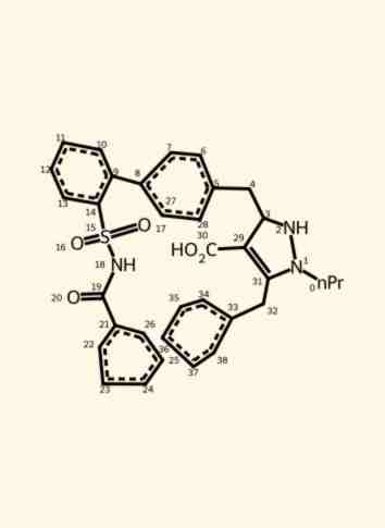 CCCN1NC(Cc2ccc(-c3ccccc3S(=O)(=O)NC(=O)c3ccccc3)cc2)C(C(=O)O)=C1Cc1ccccc1